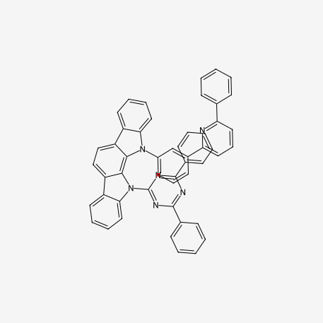 c1ccc(-c2cccc(-c3cccc(-n4c5ccccc5c5ccc6c7ccccc7n(-c7nc(-c8ccccc8)nc(-c8ccccc8)n7)c6c54)c3)n2)cc1